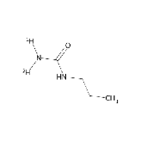 [2H]N([2H])C(=O)NCCC